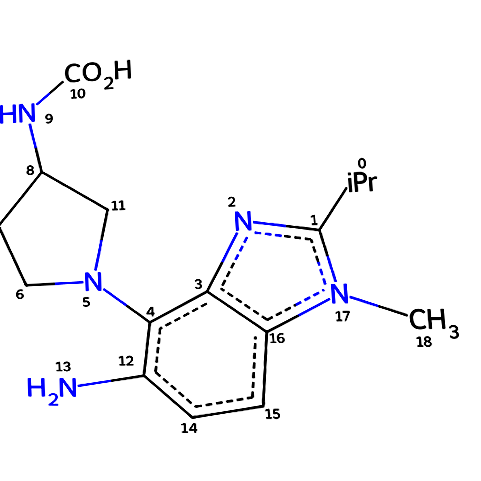 CC(C)c1nc2c(N3CCC(NC(=O)O)C3)c(N)ccc2n1C